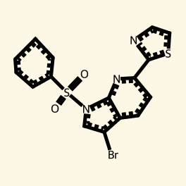 O=S(=O)(c1ccccc1)n1cc(Br)c2ccc(-c3nccs3)nc21